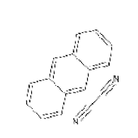 N#CC#N.c1ccc2cc3ccccc3cc2c1